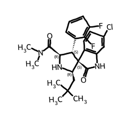 CN(C)C(=O)[C@@H]1N[C@H](CC(C)(C)C)[C@]2(C(=O)Nc3cc(Cl)ccc32)[C@H]1c1cccc(F)c1F